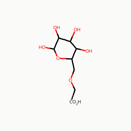 O=C(O)COCC1OC(O)C(O)C(O)C1O